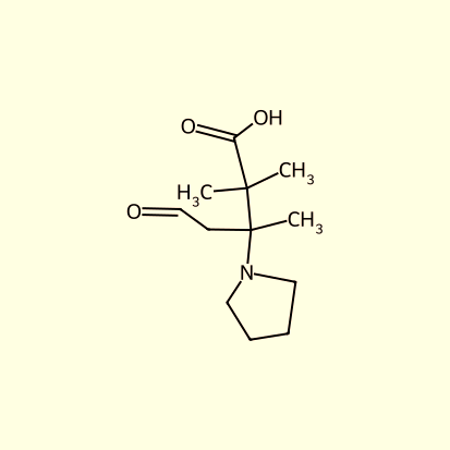 CC(C)(C(=O)O)C(C)(CC=O)N1CCCC1